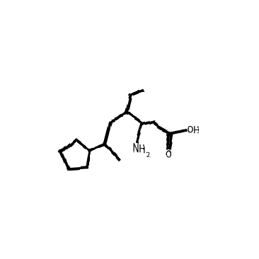 CCC(CC(C)C1CCCC1)C(N)CC(=O)O